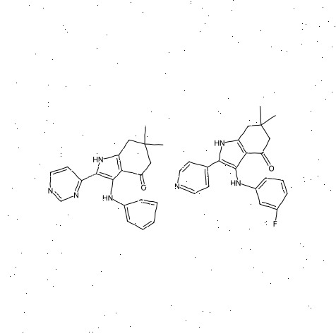 CC1(C)CC(=O)c2c([nH]c(-c3ccncc3)c2Nc2cccc(F)c2)C1.CC1(C)CC(=O)c2c([nH]c(-c3ccncn3)c2Nc2ccccc2)C1